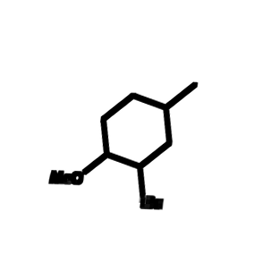 COC1CCC(C)CC1C(C)(C)C